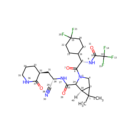 CC1(C)C2CN(C(=O)[C@@H](NC(=O)C(F)(F)F)C3CCC(F)(F)CC3)C(C(=O)N[C@H](C#N)C[C@@H]3CCCNC3=O)[C@@H]21